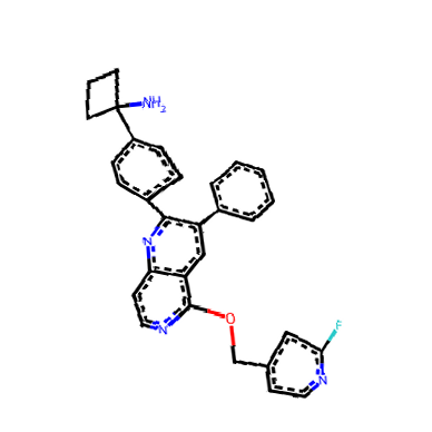 NC1(c2ccc(-c3nc4ccnc(OCc5ccnc(F)c5)c4cc3-c3ccccc3)cc2)CCC1